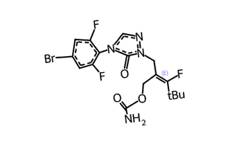 CC(C)(C)/C(F)=C(\COC(N)=O)Cn1ncn(-c2c(F)cc(Br)cc2F)c1=O